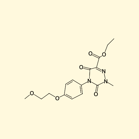 CCOC(=O)c1nn(C)c(=O)n(-c2ccc(OCCOC)cc2)c1=O